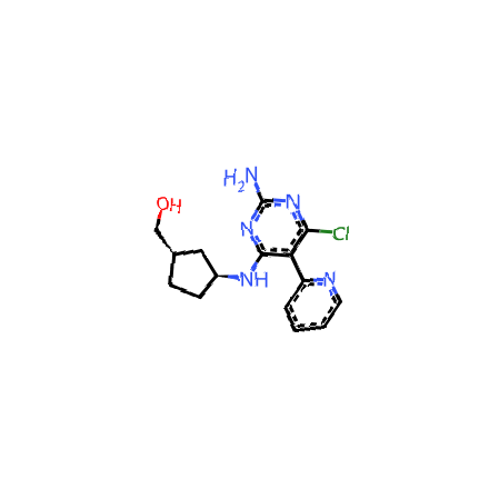 Nc1nc(Cl)c(-c2ccccn2)c(N[C@H]2CC[C@@H](CO)C2)n1